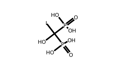 O=P(O)(O)C(O)(I)P(=O)(O)O